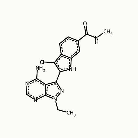 CCn1nc(-c2[nH]c3cc(C(=O)NC)ccc3c2Cl)c2c(N)ncnc21